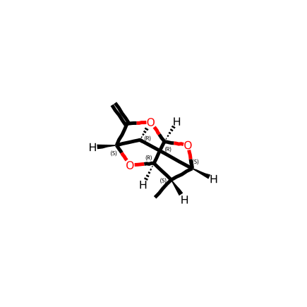 C=C1O[C@H]2O[C@H]3[C@@H](C)[C@@H]1O[C@@H]2[C@H]3C